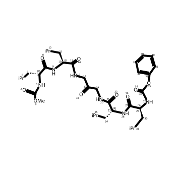 COC(=O)N[C@H](CC(C)C)C(=O)N[C@@H](CC(C)C)C(=O)NCC(=O)CNC(=O)[C@@H](CC(C)C)NC(=O)[C@H](CC(C)C)NC(=O)Oc1ccccc1